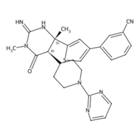 CN1C(=N)N[C@](C)(c2cc(-c3cccc(C#N)c3)cs2)[C@@H](C2CCN(c3ncccn3)CC2)C1=O